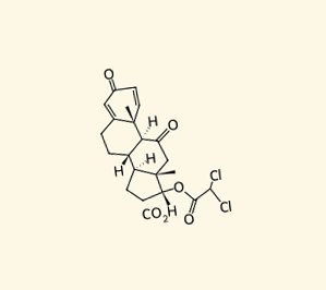 C[C@]12C=CC(=O)C=C1CC[C@@H]1[C@@H]2C(=O)C[C@@]2(C)[C@H]1CC[C@]2(OC(=O)C(Cl)Cl)C(=O)O